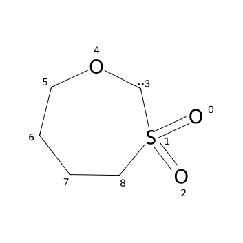 O=S1(=O)[C]OCCCC1